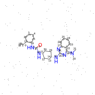 CC(C)c1ccccc1NC(=O)N[C@H]1CC[C@@H](Nc2nc(N(C)C)c3ccccc3n2)CC1